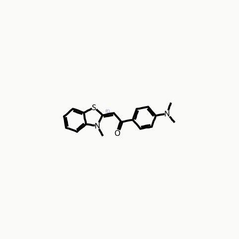 CN(C)c1ccc(C(=O)/C=C2/Sc3ccccc3N2C)cc1